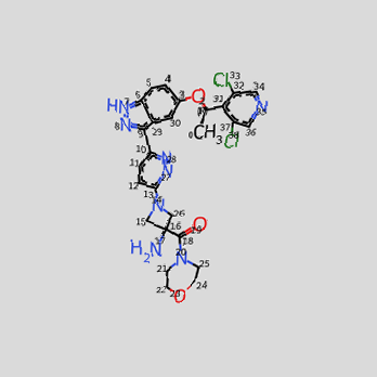 C[C@@H](Oc1ccc2[nH]nc(-c3ccc(N4CC(N)(C(=O)N5CCOCC5)C4)nn3)c2c1)c1c(Cl)cncc1Cl